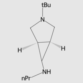 CCCNC1[C@H]2CN(C(C)(C)C)C[C@@H]12